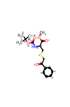 COC(=O)C(CSCC(=O)c1ccccc1)NC(=O)OC(C)(C)C